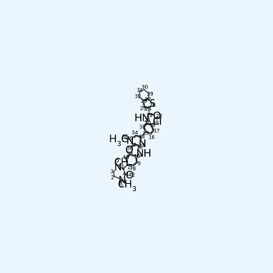 CN1CCN(C)C(c2ccc(Nc3nc(-c4ccc(Cl)c(NC(=O)c5cc6c(s5)CCCC6)c4)cn(C)c3=O)cc2)C1=O